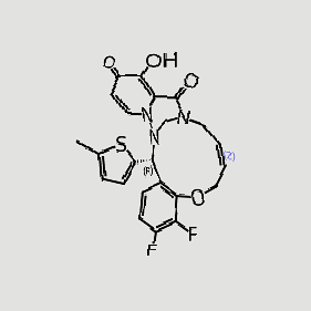 Cc1ccc([C@H]2c3ccc(F)c(F)c3OC/C=C\CN3CN2n2ccc(=O)c(O)c2C3=O)s1